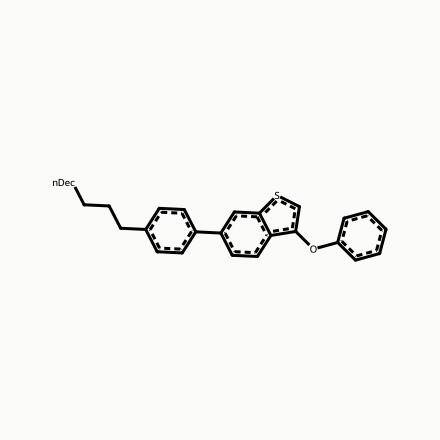 CCCCCCCCCCCCCc1ccc(-c2ccc3c(Oc4ccccc4)csc3c2)cc1